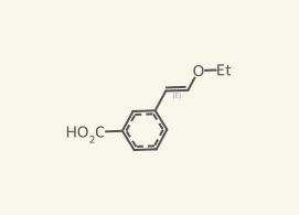 CCO/C=C/c1cccc(C(=O)O)c1